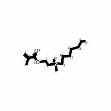 C=C(C)C(=O)OCC[N+](C)(C)CCCCCCC